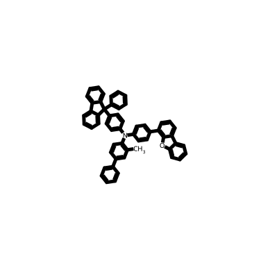 Cc1cc(-c2ccccc2)ccc1N(c1ccc(-c2cccc3c2oc2ccccc23)cc1)c1ccc(C2(c3ccccc3)c3ccccc3-c3ccccc32)cc1